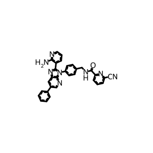 N#Cc1cccc(C(=O)NCc2ccc(-n3c(-c4cccnc4N)nc4cc(-c5ccccc5)cnc43)cc2)n1